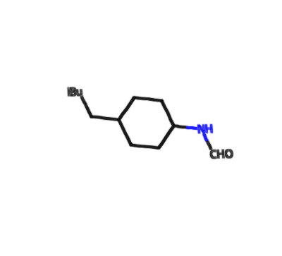 CCC(C)CC1CCC(NC=O)CC1